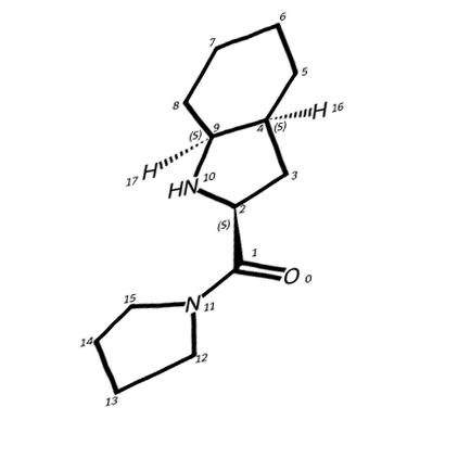 O=C([C@@H]1C[C@@H]2CCCC[C@@H]2N1)N1CCCC1